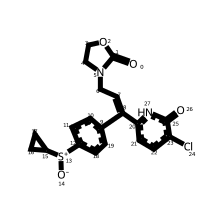 O=C1OCCN1C/C=C(\c1ccc([S+]([O-])C2CC2)cc1)c1ccc(Cl)c(=O)[nH]1